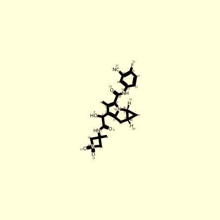 Cc1c(C(O)C(=O)NC2(C)CS(=O)(=O)C2)c2n(c1C(=O)Nc1ccc(F)c(C#N)c1)[C@@H]1C[C@@H]1C2